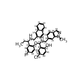 CCC(NCc1ccc2ccccc2c1)c1cc(F)ccc1OC(NCc1ccc2cnn(C)c2c1)c1cc(Cl)ccc1O